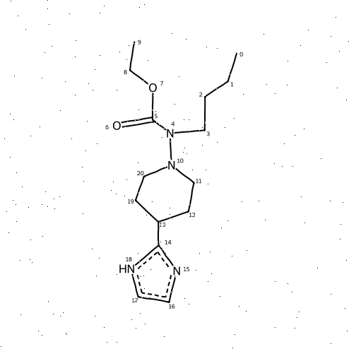 CCCCN(C(=O)OCC)N1CCC(c2ncc[nH]2)CC1